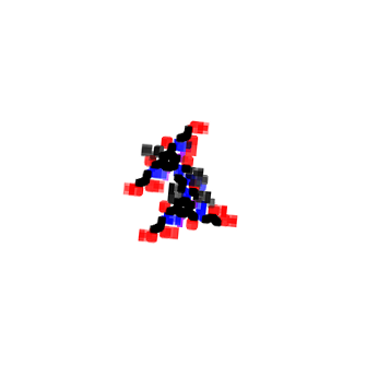 CC(=O)N(CC(N)CN(C(C)=O)c1c(I)c(C(=O)NCC(O)CO)c(C)c(C(=O)NCC(O)CO)c1I)c1c(C)c(C(=O)NCC(O)CO)c(I)c(C(=O)NCC(O)CO)c1I